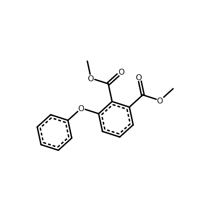 COC(=O)c1cccc(Oc2ccccc2)c1C(=O)OC